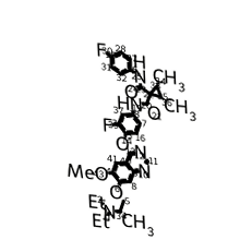 CCN(CC)C(C)COc1cc2ncnc(Oc3ccc(NC(=O)C4(C(=O)Nc5ccc(F)cc5)[C@H](C)[C@H]4C)cc3F)c2cc1OC